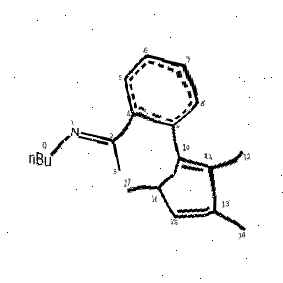 CCCC/N=C(\C)c1ccccc1C1=C(C)C(C)=CC1C